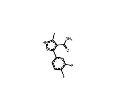 Cc1[nH]nc(-c2ccc(F)c(F)c2)c1C(N)=O